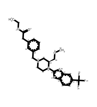 CCOC(=O)Cc1cccc(CN2CCN(c3nc4ccc(C(F)(F)F)cc4s3)[C@H](COC)C2)c1